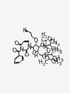 CC(C)[Si]1(C(C)C)OC[C@H]2O[C@@H](n3ccc(=O)n(C(=O)c4ccccc4)c3=O)[C@@H](OCCC#N)C2O[Si](C(C)C)(C(C)C)O1